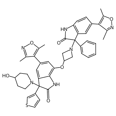 Cc1noc(C)c1-c1ccc2c(c1)C(c1ccccc1)(N1CC(Oc3cc(-c4c(C)noc4C)cc4c3NC(=O)C4(c3ccsc3)N3CCC(O)CC3)C1)C(=O)N2